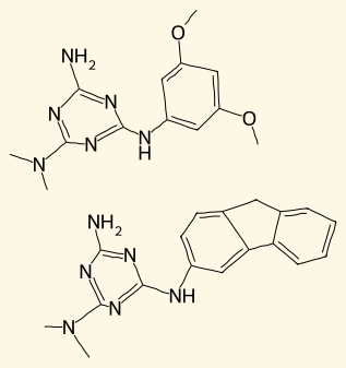 CN(C)c1nc(N)nc(Nc2ccc3c(c2)-c2ccccc2C3)n1.COc1cc(Nc2nc(N)nc(N(C)C)n2)cc(OC)c1